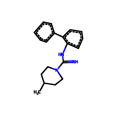 CC1CCN(C(=N)Nc2ccccc2-c2ccccc2)CC1